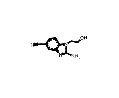 N#Cc1ccc2c(c1)nc(N)n2CCO